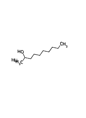 CCCCCCCCC(C)O.[LiH]